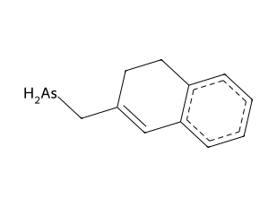 [AsH2]CC1=Cc2ccccc2CC1